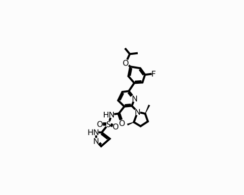 CC(C)Oc1cc(F)cc(-c2ccc(C(=O)NS(=O)(=O)c3ccn[nH]3)c(N3[C@H](C)CC[C@@H]3C)n2)c1